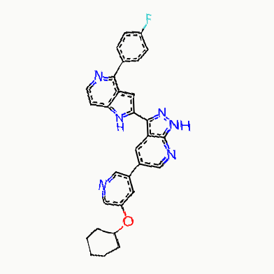 Fc1ccc(-c2nccc3[nH]c(-c4n[nH]c5ncc(-c6cncc(OC7CCCCC7)c6)cc45)cc23)cc1